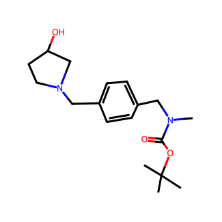 CN(Cc1ccc(CN2CCC(O)C2)cc1)C(=O)OC(C)(C)C